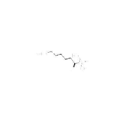 CCCCCCCCCCCC(=O)[N+](C)(C)[O-]